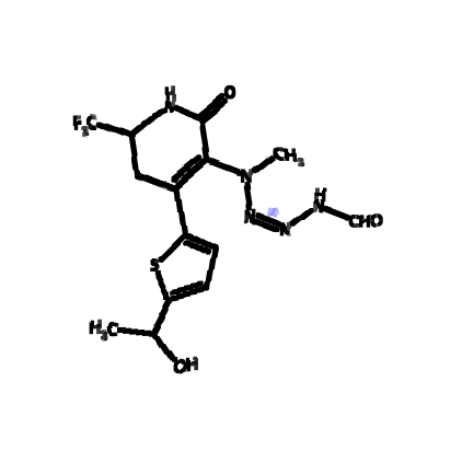 CC(O)c1ccc(C2=C(N(C)/N=N\NC=O)C(=O)NC(C(F)(F)F)C2)s1